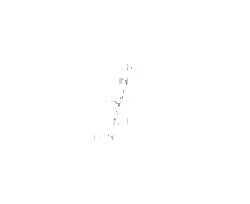 NCCCCNCCCOC(=O)CC(O)C(=O)OCCCNCCCCN